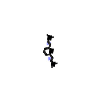 CN(C)/C=C/c1cccc(/C=C/N(C)C)n1